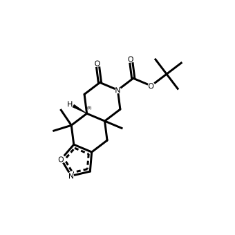 CC(C)(C)OC(=O)N1CC2(C)Cc3cnoc3C(C)(C)[C@@H]2CC1=O